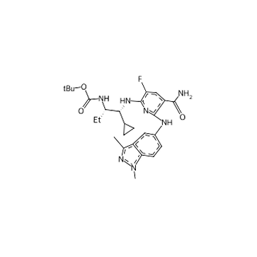 CC[C@H](NC(=O)OC(C)(C)C)[C@H](Nc1nc(Nc2ccc3c(c2)c(C)nn3C)c(C(N)=O)cc1F)C1CC1